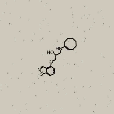 OC(CNC1=CCCCCCC1)COc1cccc2sncc12